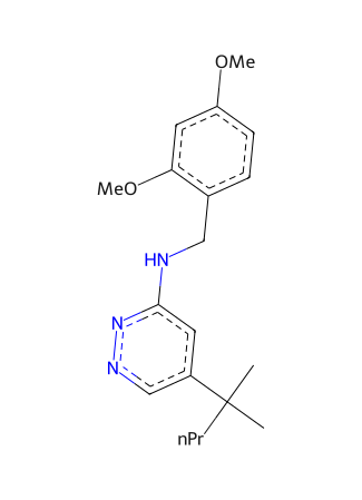 CCCC(C)(C)c1cnnc(NCc2ccc(OC)cc2OC)c1